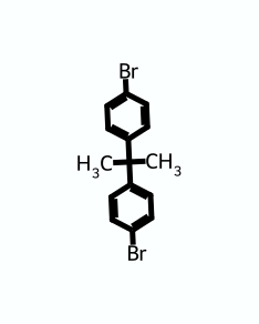 CC(C)(c1ccc(Br)cc1)c1ccc(Br)cc1